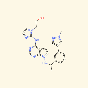 CC(Nn1ccc2c(Nc3nccn3CCO)ncnc21)c1cccc(-c2cnn(C)c2)c1